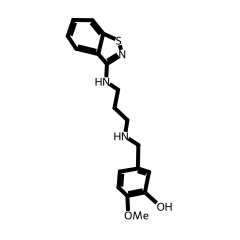 COc1ccc(CNCCCNc2nsc3ccccc23)cc1O